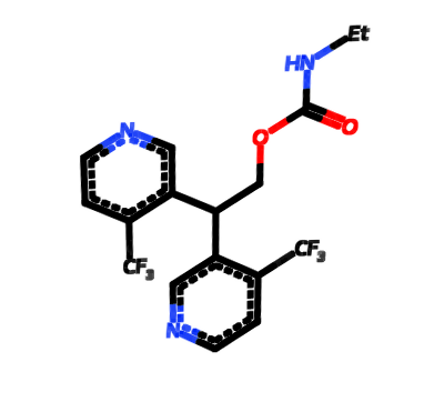 CCNC(=O)OCC(c1cnccc1C(F)(F)F)c1cnccc1C(F)(F)F